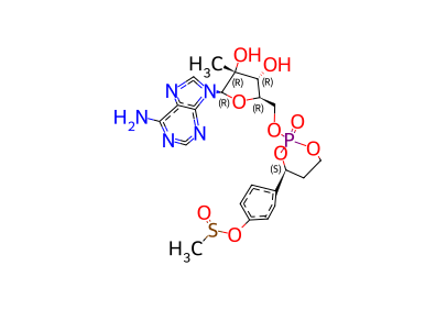 CS(=O)Oc1ccc([C@@H]2CCOP(=O)(OC[C@H]3O[C@@H](n4cnc5c(N)ncnc54)[C@](C)(O)[C@@H]3O)O2)cc1